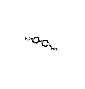 CSCN1CCN(C2CCN(C)CC2)CC1